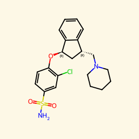 NS(=O)(=O)c1ccc(O[C@@H]2C[C@@H](CN3CCCCC3)c3ccccc32)c(Cl)c1